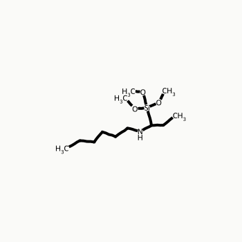 CCCCCCNC(CC)[Si](OC)(OC)OC